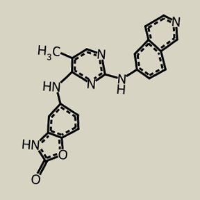 Cc1cnc(Nc2ccc3cnccc3c2)nc1Nc1ccc2oc(=O)[nH]c2c1